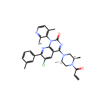 C=CC(=O)N1C[C@H](C)N(c2nc(=O)n(-c3c(C)ccnc3C(C)C)c3nc(-c4cccc(C)c4)c(Cl)cc23)C[C@H]1C